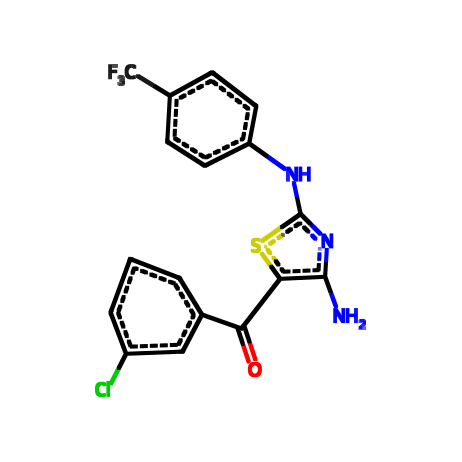 Nc1nc(Nc2ccc(C(F)(F)F)cc2)sc1C(=O)c1cccc(Cl)c1